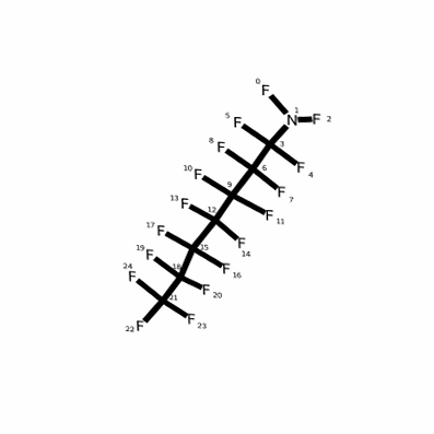 FN(F)C(F)(F)C(F)(F)C(F)(F)C(F)(F)C(F)(F)C(F)(F)C(F)(F)F